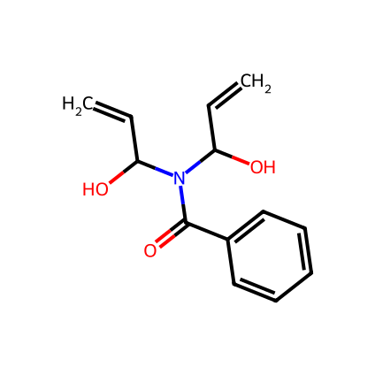 C=CC(O)N(C(=O)c1ccccc1)C(O)C=C